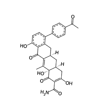 CC(=O)c1ccc(-c2ccc(O)c3c2C[C@H]2C[C@H]4CC(O)=C(C(N)=O)C(=O)[C@@]4(O)C(C)=C2C3=O)cc1